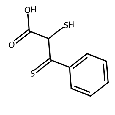 O=C(O)C(S)C(=S)c1ccccc1